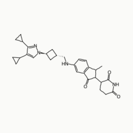 CC1c2ccc(NC[C@H]3C[C@H](n4cc(C5CC5)c(C5CC5)n4)C3)cc2C(=O)C1C1CCC(=O)NC1=O